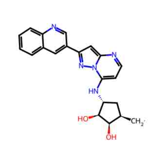 [CH2][C@@H]1C[C@@H](Nc2ccnc3cc(-c4cnc5ccccc5c4)nn23)[C@H](O)[C@@H]1O